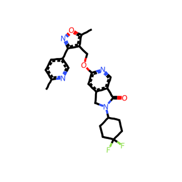 Cc1ccc(-c2noc(C)c2COc2cc3c(cn2)C(=O)N(C2CCC(F)(F)CC2)C3)cn1